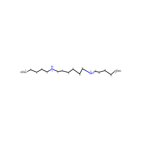 CCCCCCCCCCCCCCNCCCCCCNCCCCCCCCCCCCCC